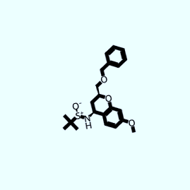 COc1ccc2c(c1)O[C@H](COCc1ccccc1)C[C@@H]2N[S@@+]([O-])C(C)(C)C